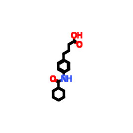 O=C(O)CCCc1ccc(NC(=O)C2CCCCC2)cc1